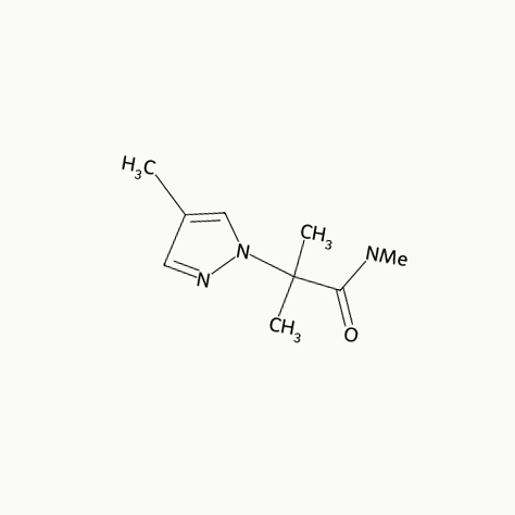 CNC(=O)C(C)(C)n1cc(C)cn1